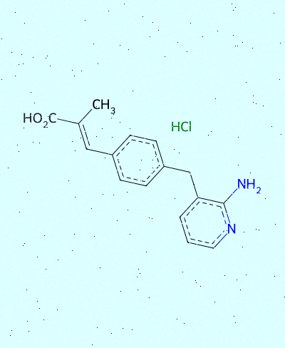 CC(=Cc1ccc(Cc2cccnc2N)cc1)C(=O)O.Cl